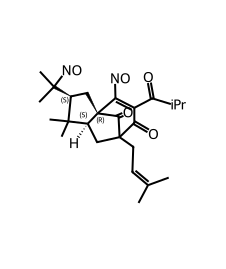 CC(C)=CCC12C[C@H]3C(C)(C)[C@@H](C(C)(C)N=O)C[C@]3(C1=O)C(N=O)=C(C(=O)C(C)C)C2=O